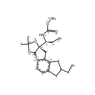 CC(C)CC1Cc2ccnc(C[C@]3([C@H](CC(C)C)NC(=O)OC(C)(C)C)OC(C)(C)OC3=O)c2C1